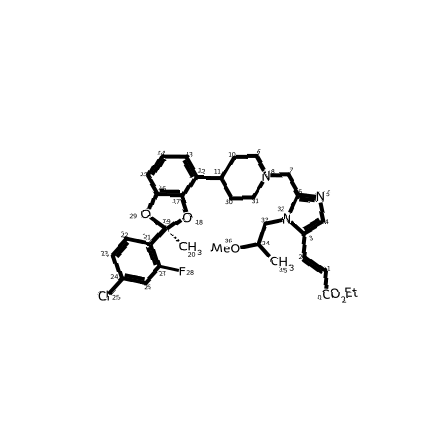 CCOC(=O)/C=C/c1cnc(CN2CCC(c3cccc4c3O[C@@](C)(c3ccc(Cl)cc3F)O4)CC2)n1CC(C)OC